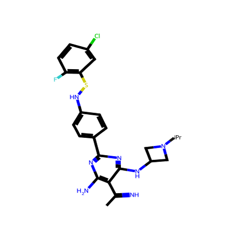 CC(=N)c1c(N)nc(-c2ccc(NSc3cc(Cl)ccc3F)cc2)nc1NC1CN(C(C)C)C1